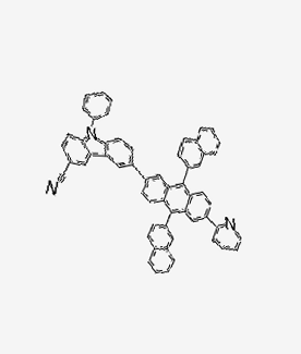 N#Cc1ccc2c(c1)c1cc(-c3ccc4c(-c5ccc6ccccc6c5)c5cc(-c6ccccn6)ccc5c(-c5ccc6ccccc6c5)c4c3)ccc1n2-c1ccccc1